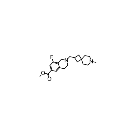 COC(=O)c1cc(F)c2c(c1)CCN(CC1CC3(CCN(C)CC3)C1)C2